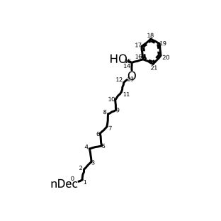 CCCCCCCCCCCCCCCCCCCCCCOC(O)c1ccccc1